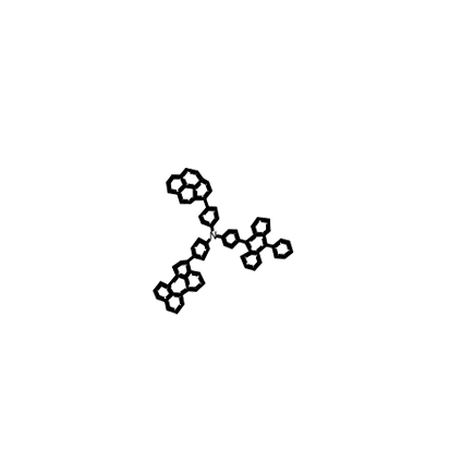 c1ccc(-c2c3ccccc3c(-c3ccc(N(c4ccc(-c5ccc6c7cccc8cccc(c9cccc5c96)c87)cc4)c4ccc(-c5ccc6ccc7cccc8ccc5c6c78)cc4)cc3)c3ccccc23)cc1